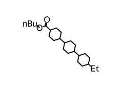 CCCCOC(=O)C1CCC(C2CCC(C3CCC(CC)CC3)CC2)CC1